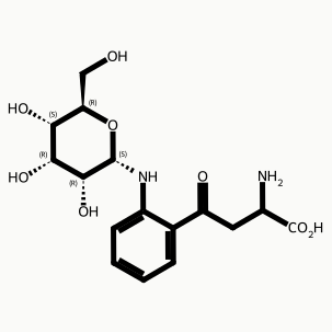 NC(CC(=O)c1ccccc1N[C@H]1O[C@H](CO)[C@@H](O)[C@@H](O)[C@H]1O)C(=O)O